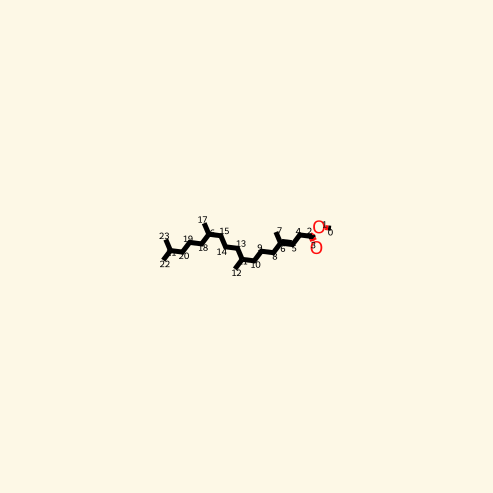 COC(=O)C/C=C(\C)CCCC(C)CCCC(C)CCCC(C)C